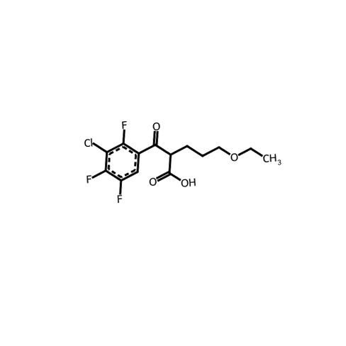 CCOCCCC(C(=O)O)C(=O)c1cc(F)c(F)c(Cl)c1F